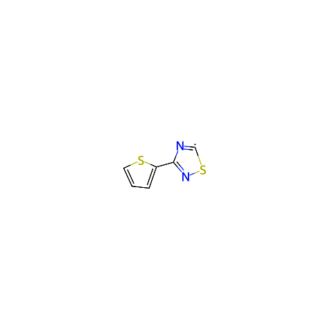 [c]1nc(-c2cccs2)ns1